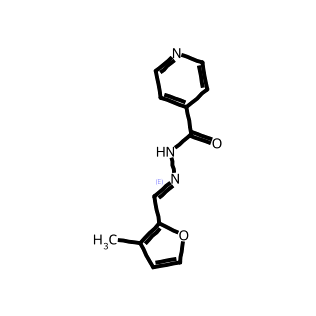 Cc1ccoc1/C=N/NC(=O)c1ccncc1